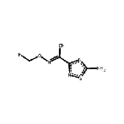 N#CC(=NOCF)c1nsc(N)n1